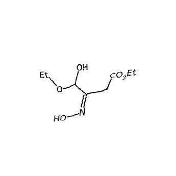 CCOC(=O)C/C(=N/O)C(O)OCC